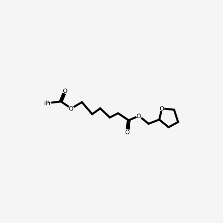 CC(C)C(=O)OCCCCCC(=O)OCC1CCCO1